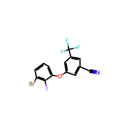 N#Cc1cc(Oc2cccc(Br)c2I)cc(C(F)(F)F)c1